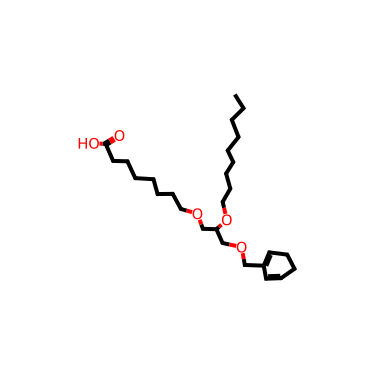 CCCCCCCCCOC(COCCCCCCCC(=O)O)COCC1=CCCC=C1